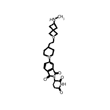 CNC1CC2(C1)CN(CCC1CCN(c3ccc4c(c3)C(=O)N(C3CCC(=O)NC3=O)C4=O)CC1)C2